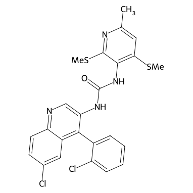 CSc1cc(C)nc(SC)c1NC(=O)Nc1cnc2ccc(Cl)cc2c1-c1ccccc1Cl